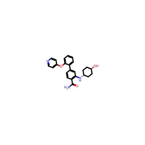 NC(=O)c1ccc(-c2ccccc2Oc2ccncc2)cc1N[C@H]1CC[C@H](O)CC1